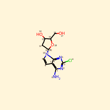 Nc1nc(Cl)nc2c1ccn2[C@H]1CC(O)C(CO)O1